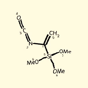 C=C(N=C=O)[Si](OC)(OC)OC